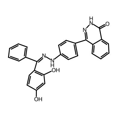 O=c1[nH]nc(-c2ccc(NN=C(c3ccccc3)c3ccc(O)cc3O)cc2)c2ccccc12